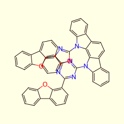 c1ccc2oc(-n3c4ccccc4c4ccc5c6ccccc6n(-c6nc(-c7cccc8c7oc7ccccc78)nc(-c7cccc8c7oc7ccccc78)n6)c5c43)nc2c1